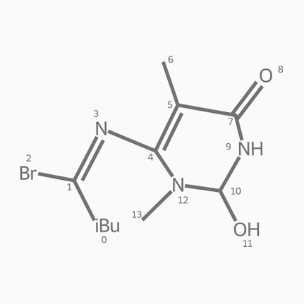 CCC(C)/C(Br)=N\C1=C(C)C(=O)NC(O)N1C